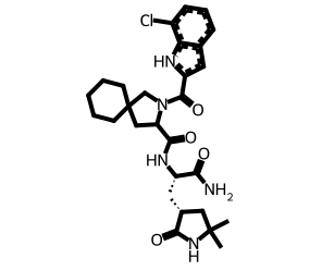 CC1(C)C[C@@H](C[C@H](NC(=O)C2CC3(CCCCC3)CN2C(=O)c2cc3cccc(Cl)c3[nH]2)C(N)=O)C(=O)N1